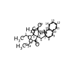 CCOC(=O)C(Cc1ccc2ccccc2n1)(NC(C)=O)C(=O)OCC